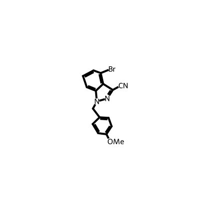 COc1ccc(Cn2nc(C#N)c3c(Br)cccc32)cc1